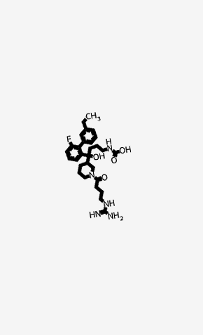 CCc1cccc(-c2c(F)cccc2C(O)(CCCNC(=O)O)C2CCCN(C(=O)CCCNC(=N)N)C2)c1